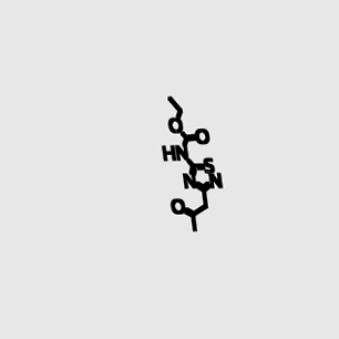 CCOC(=O)Nc1nc(CC(C)=O)ns1